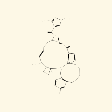 COc1nn(C)cc1C(=O)N[C@@]1(C)[C@@H](C)[C@@H](O)/C=C/[C@H](OC)[C@@H]2CC[C@H]2CN2Cc3ccc(Cl)cc3CCCCOc3ccc(cc32)C(=O)/N=[SH]\1=O